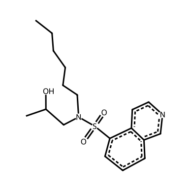 CCCCCCN(CC(C)O)S(=O)(=O)c1cccc2cnccc12